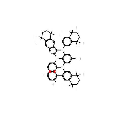 Cc1cc2c3c(c1)N(c1ccc4c(c1)C(C)(C)CCC4(C)C)c1c(oc4cc5c(cc14)C(C)(C)CCC5(C)C)B3c1ccc(C(C)(C)C)cc1N2c1cc2c(cc1-c1ccccc1C)C(C)(C)CCC2(C)C